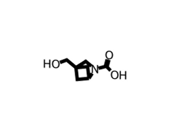 O=C(O)N1CC2(CO)CC1C2